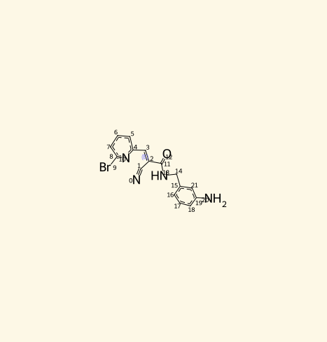 N#C/C(=C\c1cccc(Br)n1)C(=O)NCc1cccc(N)c1